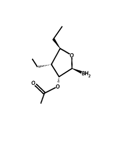 B[C@@H]1O[C@H](CC)[C@@H](CC)[C@H]1OC(C)=O